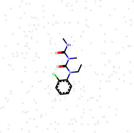 CCN(C(=O)N(C)C(=O)NC)c1ccccc1Cl